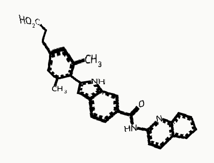 Cc1cc(CCC(=O)O)cc(C)c1-c1cc2ccc(C(=O)Nc3ccc4ccccc4n3)cc2[nH]1